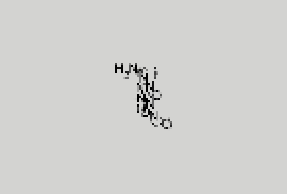 CC#CCn1c(N2CCC[C@@H](N)C2)nc2c1c(=O)n(CC(=O)N1CCc3ccccc3C1)c(=O)n2C